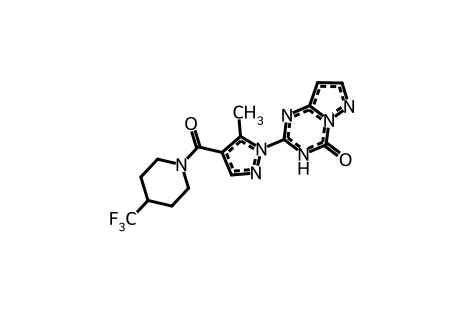 Cc1c(C(=O)N2CCC(C(F)(F)F)CC2)cnn1-c1nc2ccnn2c(=O)[nH]1